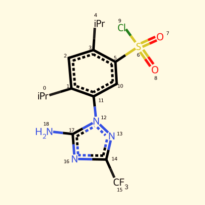 CC(C)c1cc(C(C)C)c(S(=O)(=O)Cl)cc1-n1nc(C(F)(F)F)nc1N